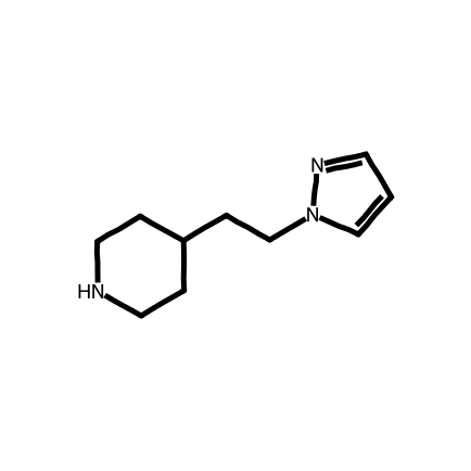 c1cnn(CCC2CCNCC2)c1